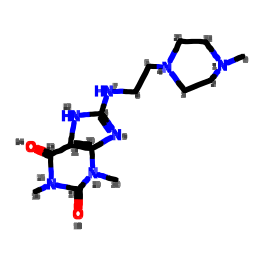 CN1CCN(CCNc2nc3c([nH]2)c(=O)n(C)c(=O)n3C)CC1